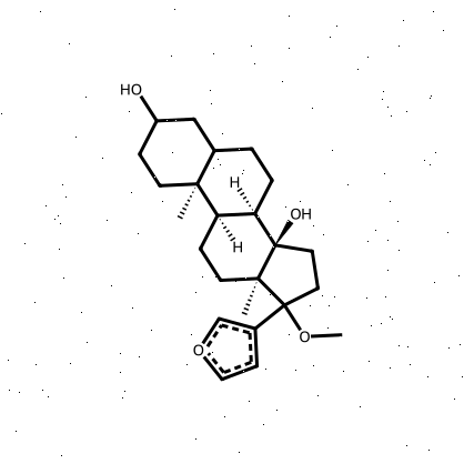 COC1(c2ccoc2)CC[C@@]2(O)[C@@H]3CCC4CC(O)CC[C@]4(C)[C@@H]3CC[C@]12C